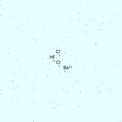 F.[Ba+2].[Cl-].[Cl-]